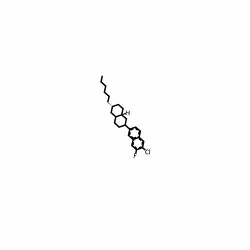 CCCCCC[C@@H]1CC[C@@H]2CC(c3ccc4cc(Cl)c(F)cc4c3)CCC2C1